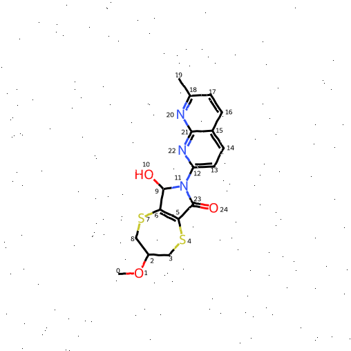 COC1CSC2=C(SC1)C(O)N(c1ccc3ccc(C)nc3n1)C2=O